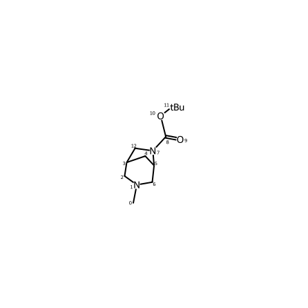 CN1CC2CC(C1)N(C(=O)OC(C)(C)C)C2